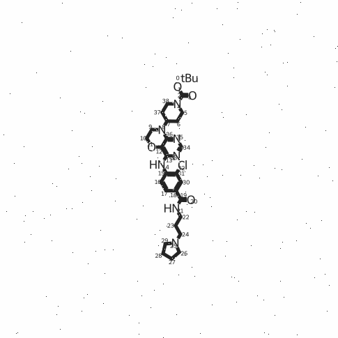 CC(C)(C)OC(=O)N1CCC(N2CCOc3c(Nc4ccc(C(=O)NCCCN5CCCC5)cc4Cl)ncnc32)CC1